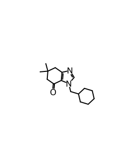 CC1(C)CC(=O)c2c(ncn2CC2CCCCC2)C1